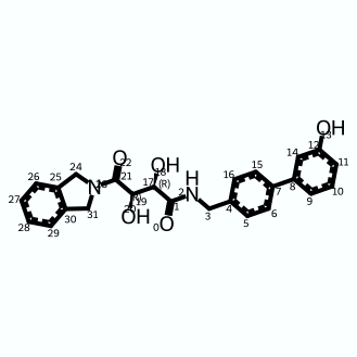 O=C(NCc1ccc(-c2cccc(O)c2)cc1)[C@H](O)[C@@H](O)C(=O)N1Cc2ccccc2C1